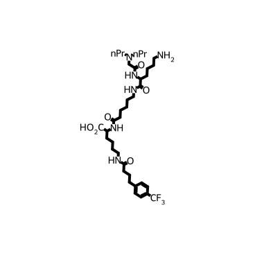 CCCN(CCC)CC(=O)NC(CCCCN)C(=O)NCCCCCC(=O)NC(CCCCNC(=O)CCCc1ccc(C(F)(F)F)cc1)C(=O)O